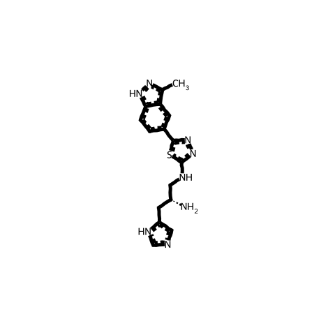 Cc1n[nH]c2ccc(-c3nnc(NC[C@H](N)Cc4cnc[nH]4)s3)cc12